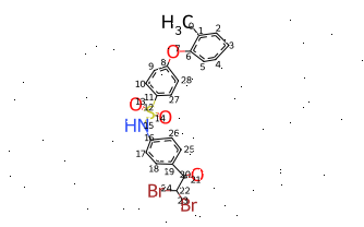 Cc1ccccc1Oc1ccc(S(=O)(=O)Nc2ccc(C(=O)C(Br)Br)cc2)cc1